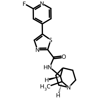 C[C@H]1[C@H](NC(=O)c2ncc(-c3ccnc(F)c3)s2)C2CCN1CC2